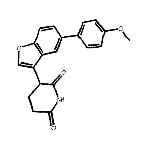 COc1ccc(-c2ccc3occ(C4CCC(=O)NC4=O)c3c2)cc1